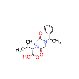 CC(C)C(C(=O)O)N1CC(=O)N([C@H](C)c2ccccc2)CC1=O